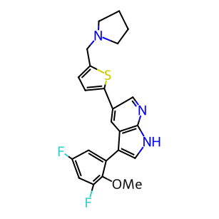 COc1c(F)cc(F)cc1-c1c[nH]c2ncc(-c3ccc(CN4CCCC4)s3)cc12